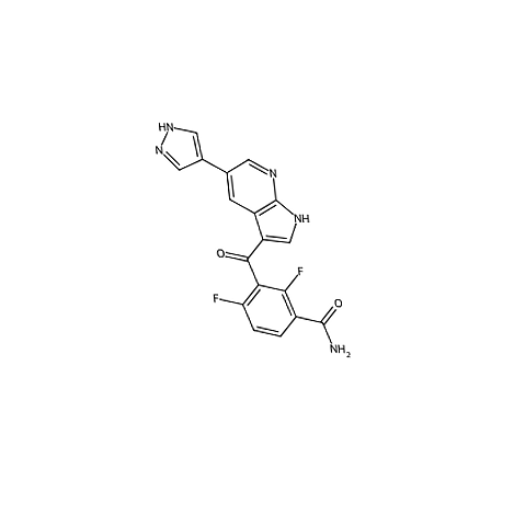 NC(=O)c1ccc(F)c(C(=O)c2c[nH]c3ncc(-c4cn[nH]c4)cc23)c1F